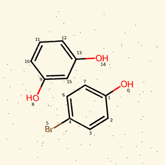 Oc1ccc(Br)cc1.Oc1cccc(O)c1